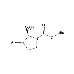 CCCC1CCN(C(=O)OC(C)(C)C)[C@@H]1C(=O)O